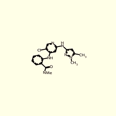 CNC(=O)c1ccccc1Nc1cc(Nc2cc(C)n(C)n2)ncc1Cl